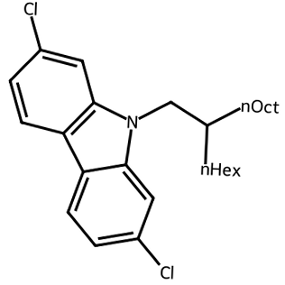 CCCCCCCCC(CCCCCC)Cn1c2cc(Cl)ccc2c2ccc(Cl)cc21